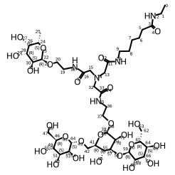 CCNC(=O)CCCCCNC(=O)CN(CC(=O)NCCO[C@@H]1O[C@@H](C)[C@@H](O)[C@@H](O)[C@@H]1O)CC(=O)NCCO[C@@H]1O[C@H](CO[C@H]2O[C@H](CO)[C@@H](O)[C@H](O)[C@@H]2O)[C@@H](O)[C@H](O[C@H]2O[C@H](CO)[C@@H](O)[C@H](O)[C@@H]2O)[C@@H]1O